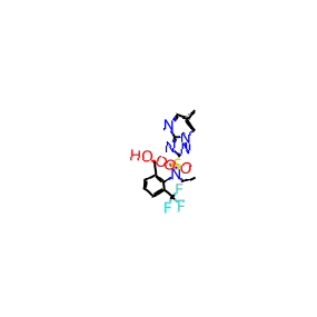 CCN(c1c(C(=O)O)cccc1C(F)(F)F)S(=O)(=O)c1nc2ncc(C)cn2n1